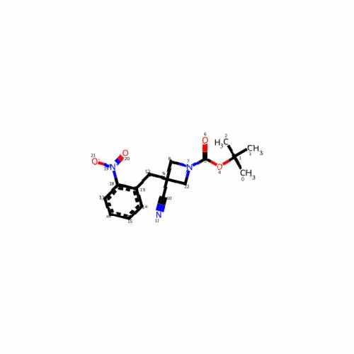 CC(C)(C)OC(=O)N1CC(C#N)(Cc2ccccc2[N+](=O)[O-])C1